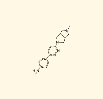 CN1CC2CN(c3ccc(-c4ccc(N)cc4)nn3)CC2C1